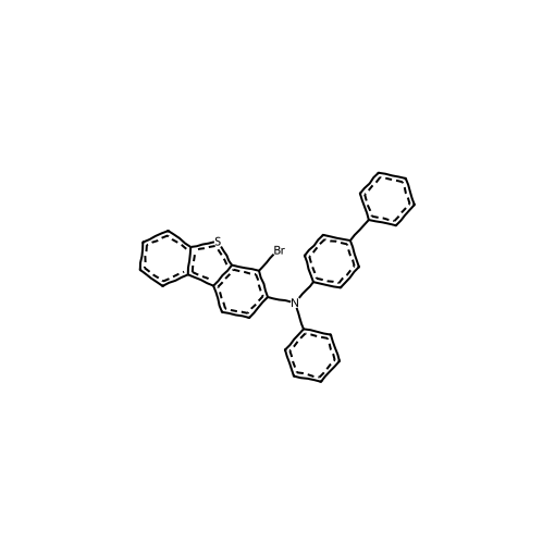 Brc1c(N(c2ccccc2)c2ccc(-c3ccccc3)cc2)ccc2c1sc1ccccc12